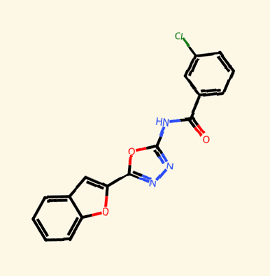 O=C(Nc1nnc(-c2cc3ccccc3o2)o1)c1cccc(Cl)c1